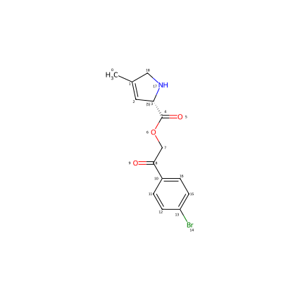 CC1=C[C@@H](C(=O)OCC(=O)c2ccc(Br)cc2)NC1